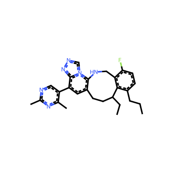 CCCc1ccc(F)c2c1C(CC)CCc1cc(-c3cnc(C)nc3C)c3nncn3c1NC2